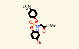 COC(=O)CNP(=O)(Oc1ccc(Br)cc1)Oc1ccc([N+](=O)[O-])cc1